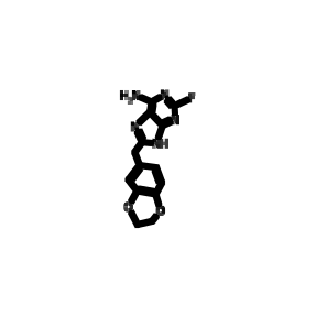 Nc1nc(F)nc2[nH]c(Cc3ccc4c(c3)OCCO4)nc12